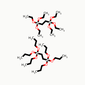 CCCO[Si](CC[Si](OCCC)(OCCC)OCCC)(OCCC)OCCC.CCO[Si](CC[Si](OCC)(OCC)OCC)(OCC)OCC